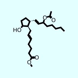 CCCCCC(C=C[C@H]1CCC(O)[C@@H]1CC=CCCCC(=O)OC)OC(C)=O